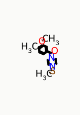 COc1cc(C(=O)N2CCN(SC)CC2)ccc1C